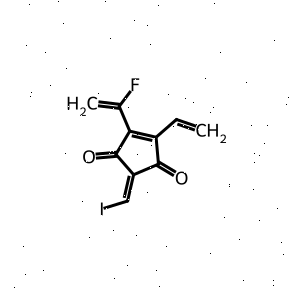 C=CC1=C(C(=C)F)C(=O)/C(=C\I)C1=O